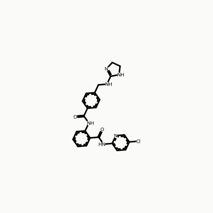 O=C(Nc1ccccc1C(=O)Nc1ccc(Cl)cn1)c1ccc(CNC2=NCCN2)cc1